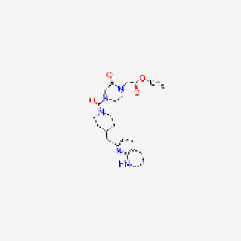 COC(=O)CN1CCN(C(=O)N2CCC(Cc3ccc4c(n3)NCCC4)CC2)CC1=O